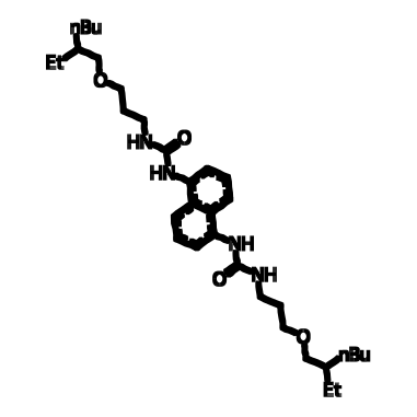 CCCCC(CC)COCCCNC(=O)Nc1cccc2c(NC(=O)NCCCOCC(CC)CCCC)cccc12